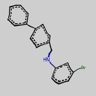 Brc1cccc(NCc2ccc(-c3ccccc3)cc2)c1